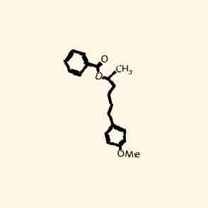 COc1ccc(CCCCC(C)OC(=O)c2ccccc2)cc1